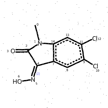 CN1C(=O)/C(=N\O)c2cc(Cl)c(Cl)cc21